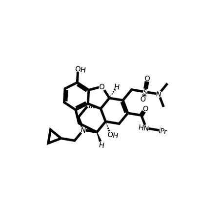 CC(C)NC(=O)C1=C(CS(=O)(=O)N(C)C)[C@@H]2Oc3c(O)ccc4c3[C@@]23CCN(CC2CC2)[C@H](C4)[C@]3(O)C1